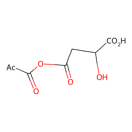 CC(=O)C(=O)OC(=O)CC(O)C(=O)O